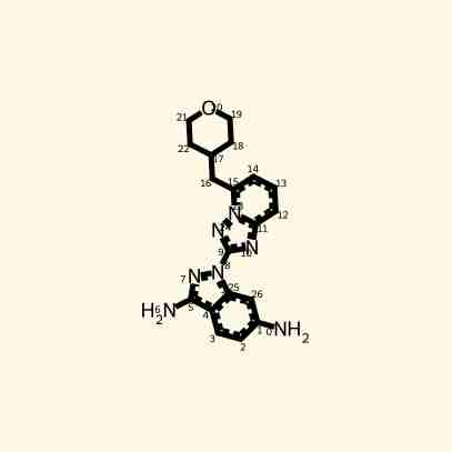 Nc1ccc2c(N)nn(-c3nc4cccc(CC5CCOCC5)n4n3)c2c1